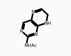 CC(=O)Nc1ncc2c(n1)NCC=N2